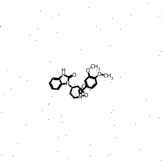 CC[N+]12CCC(n3c(=O)[nH]c4ccccc43)CC1(c1ccc(OC)c(OC)c1)O2